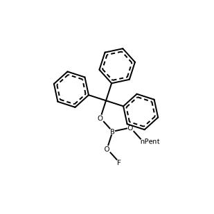 CCCCCOB(OF)OC(c1ccccc1)(c1ccccc1)c1ccccc1